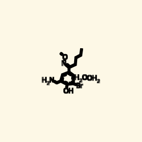 CCCCC(=NOC)c1cc(Br)c(O)c(CN)c1.O.O